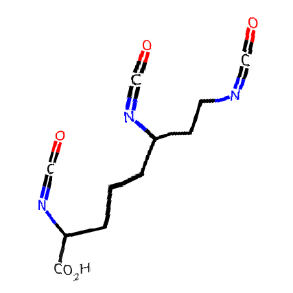 O=C=NCCC(CCCC(N=C=O)C(=O)O)N=C=O